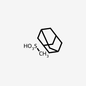 C1C2CC3CC1CC(C2)C3.CS(=O)(=O)O